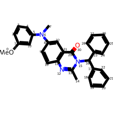 COc1cccc(N(C)c2ccc3nc(C)n(C(c4ccccc4)c4ccccc4)c(=O)c3c2)c1